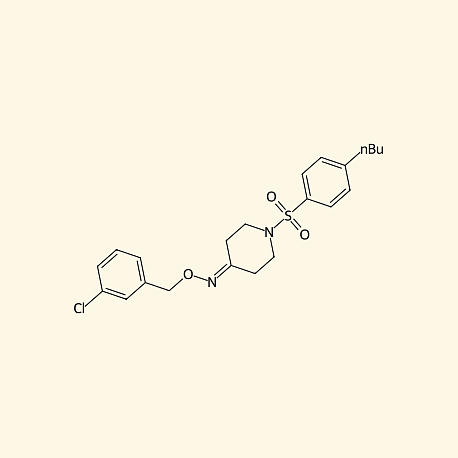 CCCCc1ccc(S(=O)(=O)N2CCC(=NOCc3cccc(Cl)c3)CC2)cc1